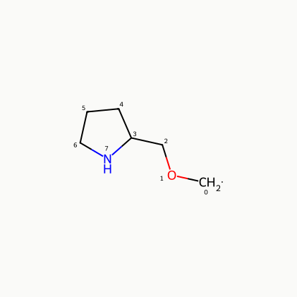 [CH2]OCC1CCCN1